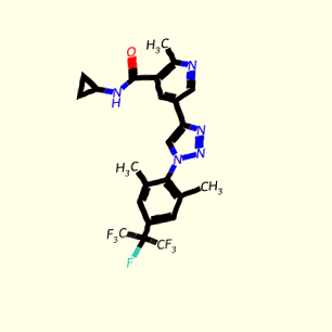 Cc1cc(C(F)(C(F)(F)F)C(F)(F)F)cc(C)c1-n1cc(-c2cnc(C)c(C(=O)NC3CC3)c2)nn1